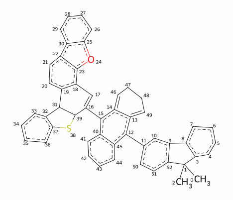 CC1(C)c2ccccc2-c2cc(-c3c4c(c(C5=Cc6c(ccc7c6oc6ccccc67)C6c7ccccc7SC56)c5ccccc35)=CCCC=4)ccc21